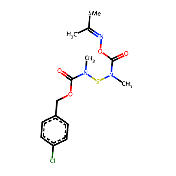 CSC(C)=NOC(=O)N(C)SN(C)C(=O)OCc1ccc(Cl)cc1